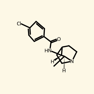 C[C@H]1[C@H](NC(=O)c2ccc(Cl)cc2)C2CCN1CC2